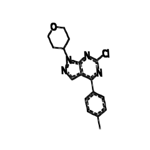 Cc1ccc(-c2nc(Cl)nc3c2cnn3C2CCOCC2)cc1